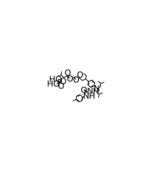 CCC(CC(=O)OCOC(=O)[C@@H](OP(=O)(O)O)C(C)C)c1ccc(N(CC(C)C)CC(C)C)c(NC(=O)Nc2ccc(C)cc2)c1